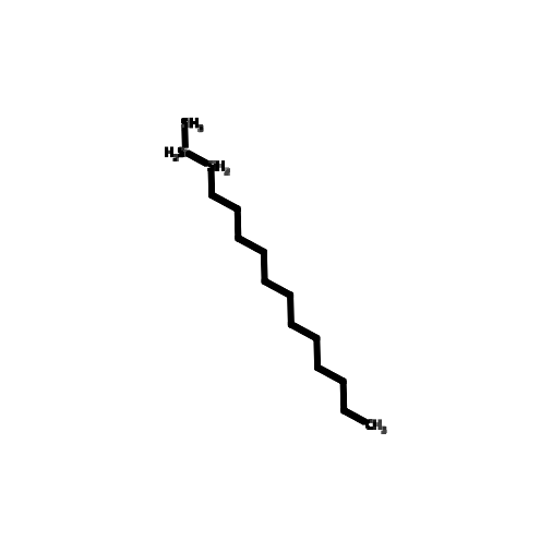 CCCCCCCCCCCC[SiH2][SiH2][SiH3]